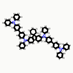 c1ccc(N(c2ccccc2)c2ccc(-c3ccc(N(c4ccccc4)c4cccc(C5(c6cccc(N(c7ccccc7)c7ccc(-c8ccc(N(c9ccccc9)c9ccccc9)cc8)cc7)c6)CCCCC5)c4)cc3)cc2)cc1